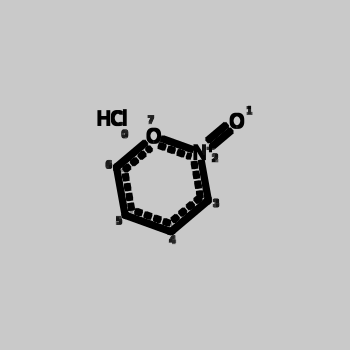 Cl.O=[n+]1cccco1